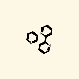 c1ccc(-c2ccccn2)nc1.c1ccncc1